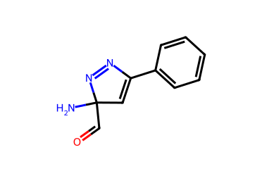 NC1(C=O)C=C(c2ccccc2)N=N1